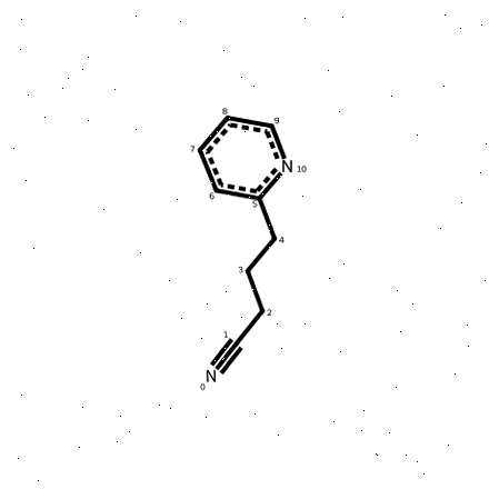 N#CCCCc1ccccn1